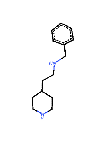 c1ccc(CNCCC2CCNCC2)cc1